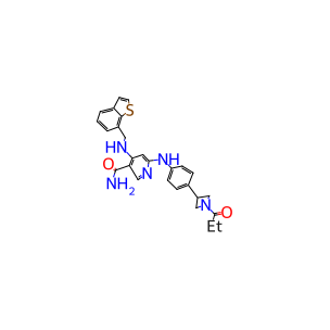 CCC(=O)N1CC(c2ccc(Nc3cc(NCc4cccc5ccsc45)c(C(N)=O)cn3)cc2)C1